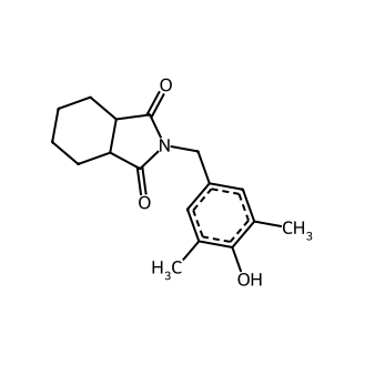 Cc1cc(CN2C(=O)C3CCCCC3C2=O)cc(C)c1O